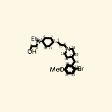 CCN(CCO)[C@H]1CC[C@H](CCCN2CCC(Cc3cc(OC)ccc3Br)CC2)CC1